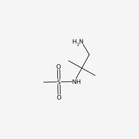 CC(C)(CN)NS(C)(=O)=O